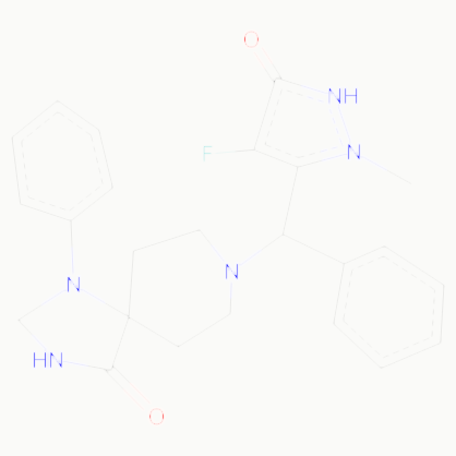 Cn1[nH]c(=O)c(F)c1C(c1ccccc1)N1CCC2(CC1)C(=O)NCN2c1ccccc1